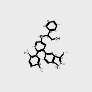 OCC(Nc1cnc(-c2cc(Cl)ccc2O)c(-c2ccc3[nH]nc(F)c3c2)c1)c1ccccc1